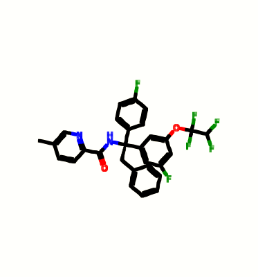 Cc1ccc(C(=O)N[C@](Cc2ccccc2)(c2ccc(F)cc2)c2cc(F)cc(OC(F)(F)C(F)F)c2)nc1